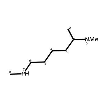 CNC(C)CCCCPC